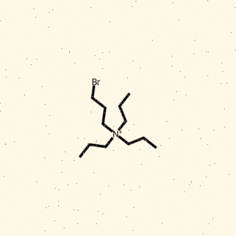 CCC[N+](CCC)(CCC)CCCBr